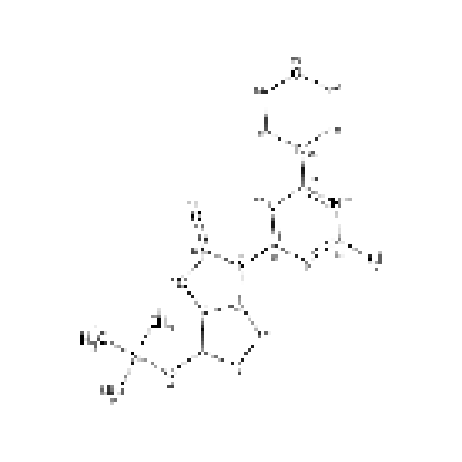 CC(C)(C)[Si](C)(C)OC1CCC2C1OC(=O)N2c1cc(Cl)nc(N2CCOCC2)n1